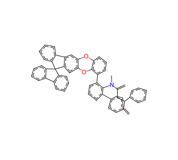 C=CC(CC(=C)N(C)c1c(-c2ccccc2)cccc1-c1cccc2c1Oc1cc3c(cc1O2)-c1ccccc1C31c2ccccc2-c2ccccc21)c1ccccc1